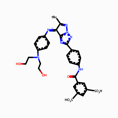 CC(C)(C)C1=Nn2nc(-c3ccc(NC(=O)c4cc(S(=O)(=O)O)cc(S(=O)(=O)O)c4)cc3)nc2/C1=N\c1ccc(N(CCO)CCO)cc1